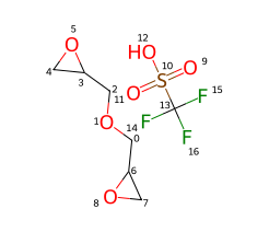 C(OCC1CO1)C1CO1.O=S(=O)(O)C(F)(F)F